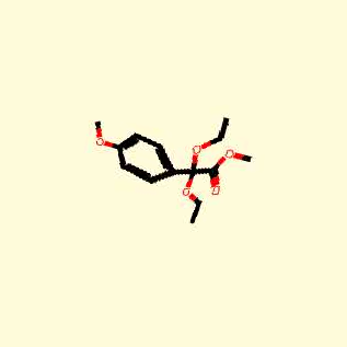 CCOC(OCC)(C(=O)OC)c1ccc(OC)cc1